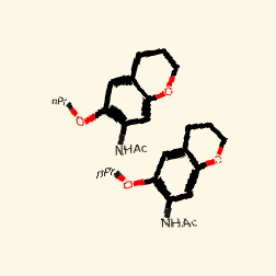 CCCOc1cc2c(cc1NC(C)=O)OCCC2.CCCOc1cc2c(cc1NC(C)=O)OCCC2